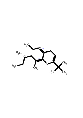 CC/N=C1/CC=C(C(C)(C)C)S/C1=C(\C)C[C@@H](C)CC